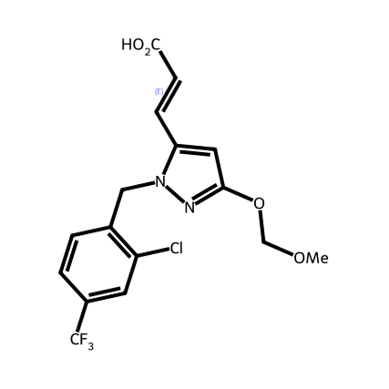 COCOc1cc(/C=C/C(=O)O)n(Cc2ccc(C(F)(F)F)cc2Cl)n1